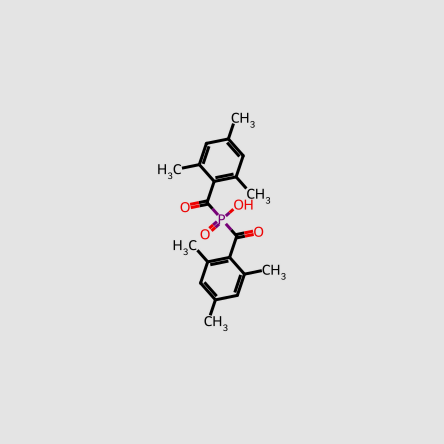 Cc1cc(C)c(C(=O)P(=O)(O)C(=O)c2c(C)cc(C)cc2C)c(C)c1